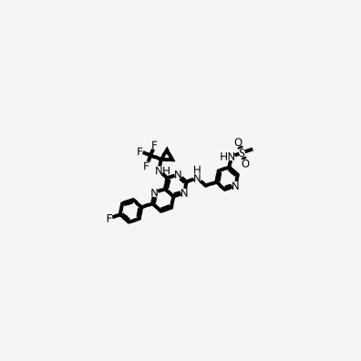 CS(=O)(=O)Nc1cncc(CNc2nc(NC3(C(F)(F)F)CC3)c3nc(-c4ccc(F)cc4)ccc3n2)c1